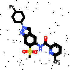 CC(C)[C@H]1CC[C@H](n2cc3cc(NC(=O)c4cccc(C(F)(F)F)n4)c(S(C)(=O)=O)cc3n2)CC1